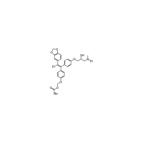 CCC(=C(c1ccc(OCOC(=O)C(C)(C)C)cc1)c1ccc(OCC(O)CN(C)CC)cc1)c1ccc2c(c1)OCO2